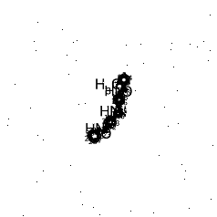 CC1CCCCC1C(=O)Nc1ccc(-c2ncc(-c3ccc(C(=O)NC4CCCCCC4)cc3)[nH]2)cc1